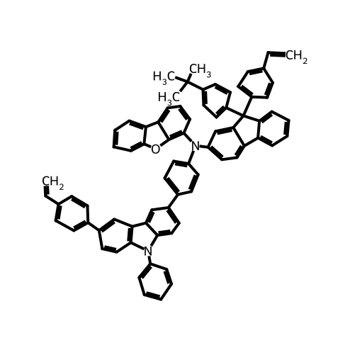 C=Cc1ccc(-c2ccc3c(c2)c2cc(-c4ccc(N(c5ccc6c(c5)C(c5ccc(C=C)cc5)(c5ccc(C(C)(C)C)cc5)c5ccccc5-6)c5cccc6c5oc5ccccc56)cc4)ccc2n3-c2ccccc2)cc1